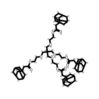 O=C(CC12CC3CC(CC(C3)C1)C2)OCCOCC(COCCOC(=O)CC12CC3CC(CC(C3)C1)C2)(COCCOC(=O)CC12CC3CC(CC(C3)C1)C2)COCCOC(=O)CC12CC3CC(CC(C3)C1)C2